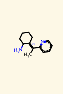 C/C(=C1/CCCCC1N)c1ccccn1